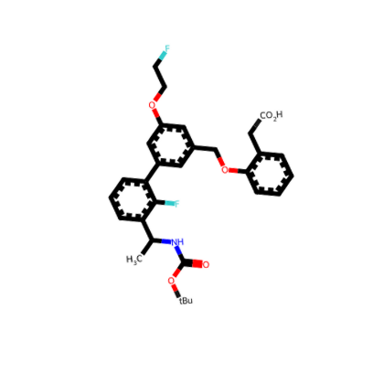 CC(NC(=O)OC(C)(C)C)c1cccc(-c2cc(COc3ccccc3CC(=O)O)cc(OCCF)c2)c1F